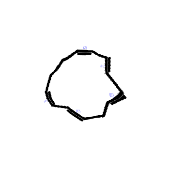 [C]1=C/C=C\CC/C=C\C=C\C/C=C/1